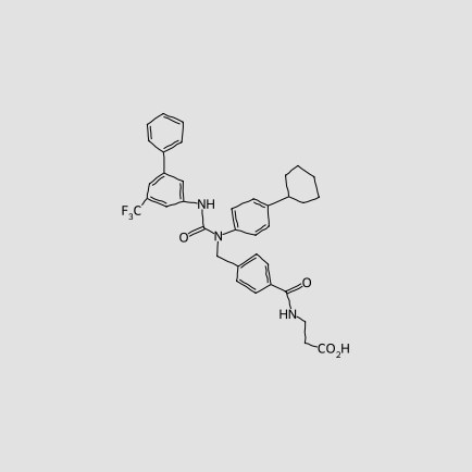 O=C(O)CCNC(=O)c1ccc(CN(C(=O)Nc2cc(-c3ccccc3)cc(C(F)(F)F)c2)c2ccc(C3CCCCC3)cc2)cc1